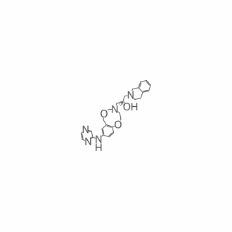 O[C@@H](CN1CCOc2ccc(Nc3cnccn3)cc2COC1)CN1CCc2ccccc2C1